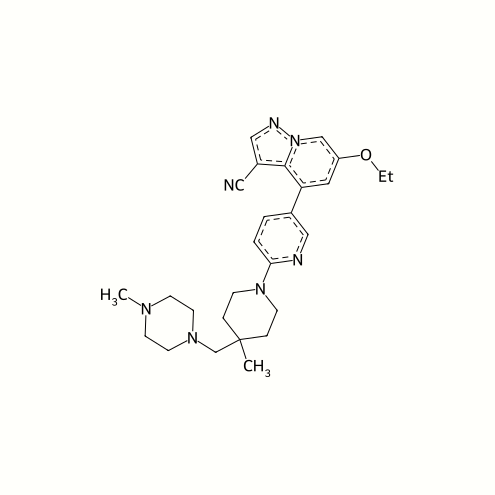 CCOc1cc(-c2ccc(N3CCC(C)(CN4CCN(C)CC4)CC3)nc2)c2c(C#N)cnn2c1